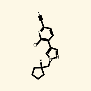 N#Cc1ccc(-c2cnn(CC3(F)CCCC3)c2)c(Cl)n1